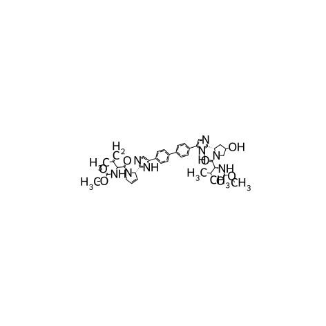 C=C(C)[C@H](NC(=O)OC)C(=O)N1CC=C[C@H]1c1ncc(-c2ccc(-c3ccc(-c4cnc([C@@H]5CC(O)CN5C(=O)[C@@H](NC(=O)OC)C(C)C)[nH]4)cc3)cc2)[nH]1